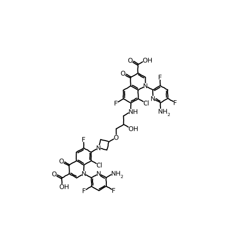 Nc1nc(-n2cc(C(=O)O)c(=O)c3cc(F)c(NCC(O)COC4CN(c5c(F)cc6c(=O)c(C(=O)O)cn(-c7nc(N)c(F)cc7F)c6c5Cl)C4)c(Cl)c32)c(F)cc1F